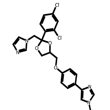 CC(C)n1cnc(-c2ccc(OCC3COC(Cn4ccnc4)(c4ccc(Cl)cc4Cl)O3)cc2)c1